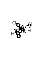 O=C(NC(Cc1cc(=O)[nH]c2ccccc12)C(=O)NCCc1cnc[nH]1)c1ccc(Cl)cc1